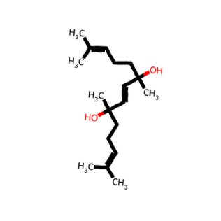 CC(C)=CCCC(C)(O)C=CC(C)(O)CCC=C(C)C